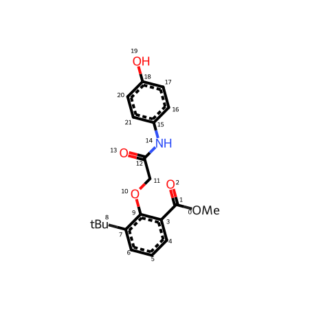 COC(=O)c1cccc(C(C)(C)C)c1OCC(=O)Nc1ccc(O)cc1